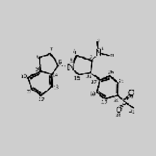 CN(C)[C@H]1CN([C@H]2CCc3ccccc32)C[C@@H]1c1ccc(S(C)(=O)=O)cc1